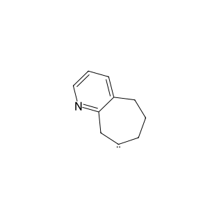 [C]1CCCc2cccnc2C1